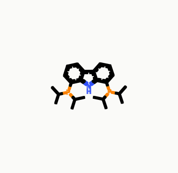 CC(C)P(c1cccc2c1[nH]c1c(P(C(C)C)C(C)C)cccc12)C(C)C